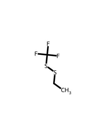 CCSSC(F)(F)F